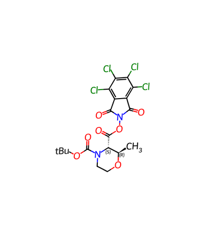 C[C@H]1OCCN(C(=O)OC(C)(C)C)[C@@H]1C(=O)ON1C(=O)c2c(Cl)c(Cl)c(Cl)c(Cl)c2C1=O